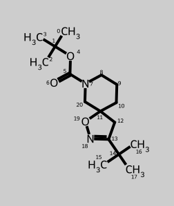 CC(C)(C)OC(=O)N1CCCC2(CC(C(C)(C)C)=NO2)C1